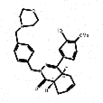 COc1ccc(C2=NN(Cc3ccc(CN4CCOCC4)cc3)C(=O)[C@H]3CC=CC[C@@H]23)cc1O